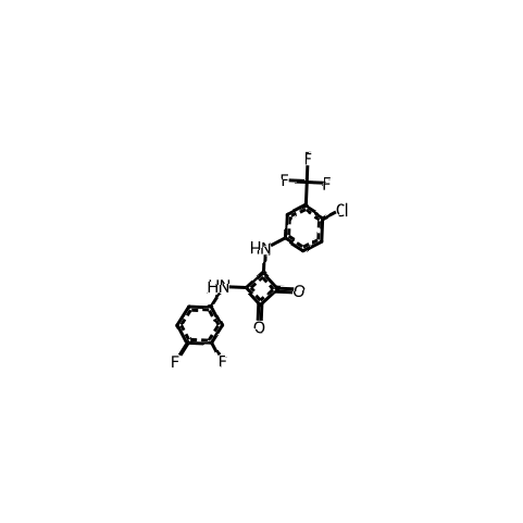 O=c1c(Nc2ccc(F)c(F)c2)c(Nc2ccc(Cl)c(C(F)(F)F)c2)c1=O